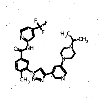 Cc1ccc(C(=O)Nc2cc(C(F)(F)F)ccn2)cc1-n1cc(-c2cncc(N3CCN(C(C)C)CC3)c2)nn1